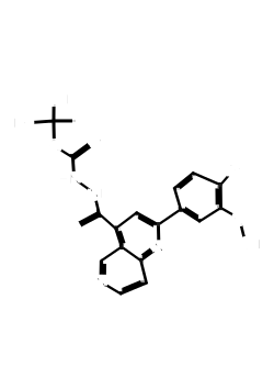 COc1cc(-c2cc(C(=O)NNC(=O)OC(C)(C)C)c3cnccc3n2)ccc1Br